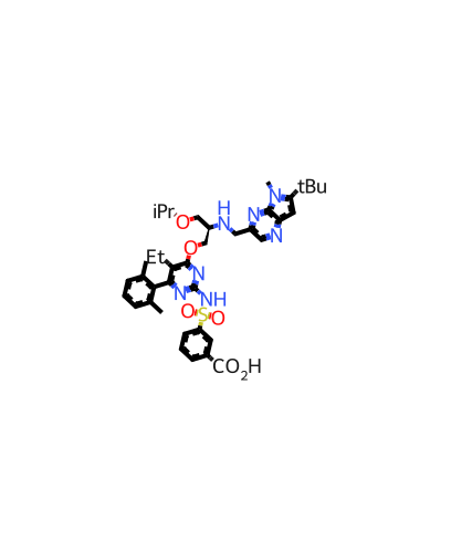 CCc1c(OC[C@@H](COC(C)C)NCc2cnc3cc(C(C)(C)C)n(C)c3n2)nc(NS(=O)(=O)c2cccc(C(=O)O)c2)nc1-c1c(C)cccc1C